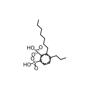 CCCCCCCc1c(CCC)ccc(S(=O)(=O)O)c1S(=O)(=O)O